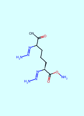 NN=NC(CCC[C@H](N=NN)C(=O)ON)C(=O)N=O